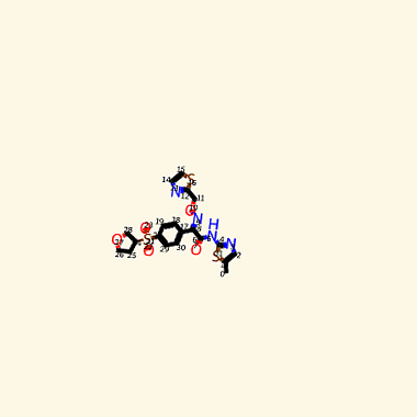 Cc1cnc(NC(=O)/C(=N/OCc2nccs2)c2ccc(S(=O)(=O)[C@H]3CCOC3)cc2)s1